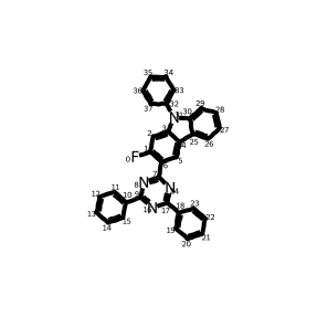 Fc1cc2c(cc1-c1nc(-c3ccccc3)nc(-c3ccccc3)n1)c1ccccc1n2-c1ccccc1